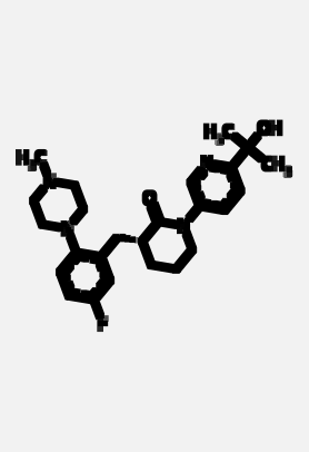 CN1CCN(c2ccc(F)cc2C[C@H]2CCCN(c3ccc(C(C)(C)O)nc3)C2=O)CC1